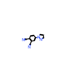 N#Cc1ccc(-n2c[c]cn2)cc1C#N